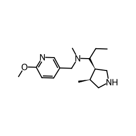 CCC([C@H]1CNC[C@H]1C)N(C)Cc1ccc(OC)nc1